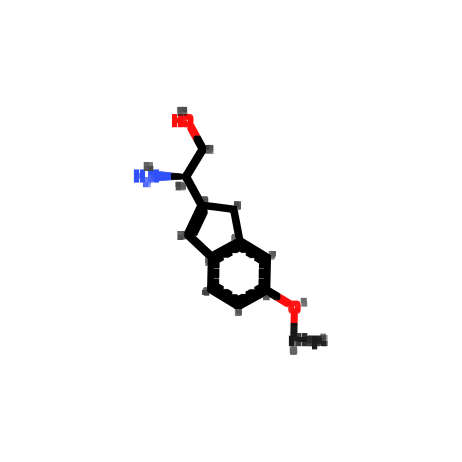 CCCCCCCOc1ccc2c(c1)CC([C@@H](N)CO)=C2